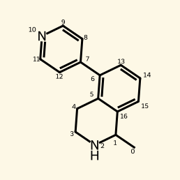 CC1NCCc2c(-c3ccncc3)cccc21